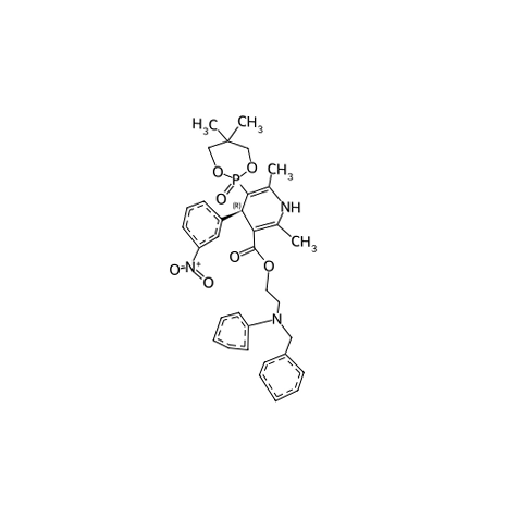 CC1=C(C(=O)OCCN(Cc2ccccc2)c2ccccc2)[C@@H](c2cccc([N+](=O)[O-])c2)C(P2(=O)OCC(C)(C)CO2)=C(C)N1